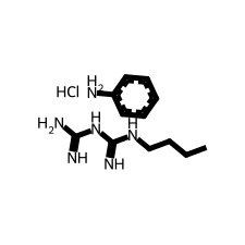 CCCCNC(=N)NC(=N)N.Cl.Nc1ccccc1